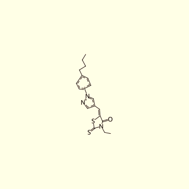 CCCCc1ccc(-n2cc(/C=C3\SC(=S)N(CC)C3=O)cn2)cc1